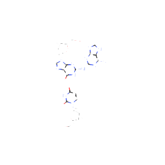 Nc1nc2c(ncn2[C@H]2C[C@H](O)[C@@H](CO)O2)c(=O)[nH]1.Nc1ncnc2nc[nH]c12.O=c1ccn([C@H]2C[C@H](O)[C@@H](CO)O2)c(=O)[nH]1